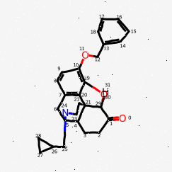 O=C1CCC2C3Cc4ccc(OCc5ccccc5)c5c4[C@]2(CCN3CC2CC2)[C@@H]1O5